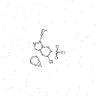 C#Cn1ncc2cc(Cl)c(S(=O)(=O)CC)cc21.c1cc2cc-2c1